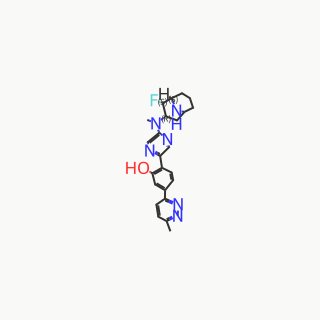 Cc1ccc(-c2ccc(-c3cnc(N(C)[C@@H]4CC5CCC[C@H](N5)[C@@H]4F)cn3)c(O)c2)nn1